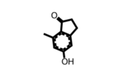 Cc1cc(O)cc2c1C(=O)CC2